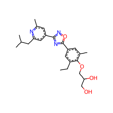 CCc1cc(-c2nc(-c3cc(C)nc(CC(C)C)c3)no2)cc(C)c1OCC(O)CO